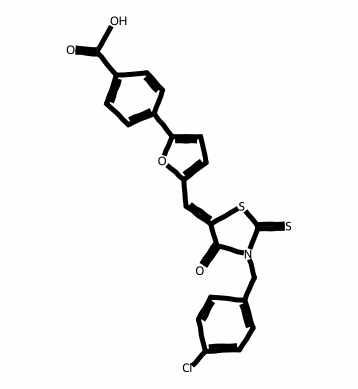 O=C(O)c1ccc(-c2ccc(/C=C3\SC(=S)N(Cc4ccc(Cl)cc4)C3=O)o2)cc1